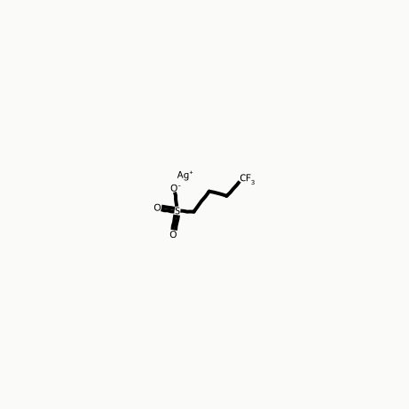 O=S(=O)([O-])CCCC(F)(F)F.[Ag+]